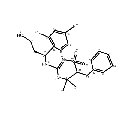 CC1(C)OC(N[C@@H](CCO)c2ccc(F)cc2F)=NS(=O)(=O)C1Cc1ccccc1